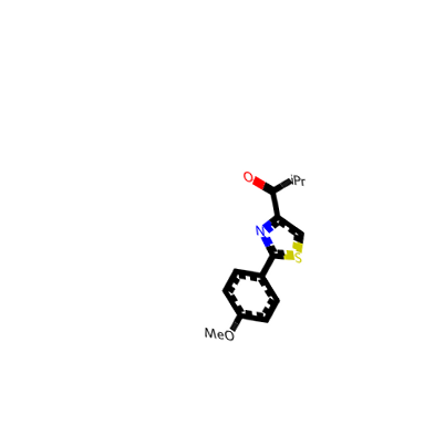 COc1ccc(-c2nc(C(=O)C(C)C)cs2)cc1